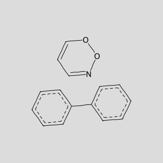 C1=COON=C1.c1ccc(-c2ccccc2)cc1